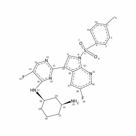 Cc1ccc(S(=O)(=O)n2cc(-c3ncc(F)c(N[C@@H]4CCC[C@H](N)C4)n3)c3cc(F)cnc32)cc1